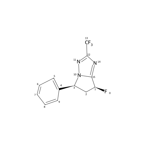 F[C@H]1C[C@@H](c2ccccc2)n2nc(C(F)(F)F)nc21